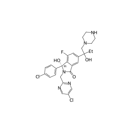 CCC(O)(CN1CCNCC1)c1cc(F)c2c(c1)C(=O)N(Cc1ncc(Cl)cn1)[C@@]2(O)c1ccc(Cl)cc1